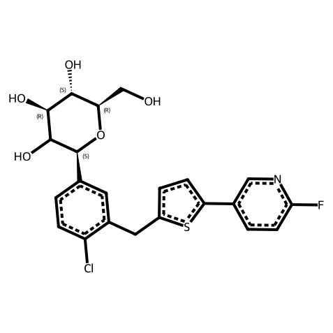 OC[C@H]1O[C@@H](c2ccc(Cl)c(Cc3ccc(-c4ccc(F)nc4)s3)c2)C(O)[C@@H](O)[C@@H]1O